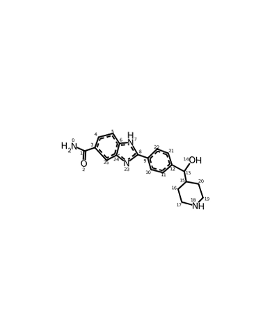 NC(=O)c1ccc2[nH]c(-c3ccc(C(O)C4CCNCC4)cc3)nc2c1